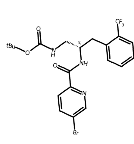 CC(C)(C)OC(=O)NC[C@H](Cc1ccccc1C(F)(F)F)NC(=O)c1ccc(Br)cn1